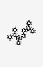 c1ccc(-c2cc(-c3ccccc3)cc(-c3nc(-c4ccccc4)nc(-c4cccc(-c5cccc(-c6nc(-c7ccccc7)nc(-c7ccccc7)n6)c5)c4)n3)c2)cc1